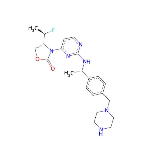 C[C@H](Nc1nccc(N2C(=O)OC[C@@H]2[C@@H](C)F)n1)c1ccc(CN2CCNCC2)cc1